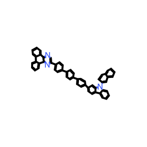 c1ccc2cc(-n3c4ccccc4c4ccc(-c5ccc(-c6ccc(-c7ccc(-c8cnc9c%10ccccc%10c%10ccccc%10c9n8)cc7)cc6)cc5)cc43)ccc2c1